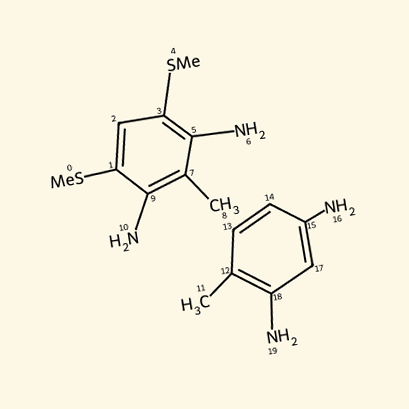 CSc1cc(SC)c(N)c(C)c1N.Cc1ccc(N)cc1N